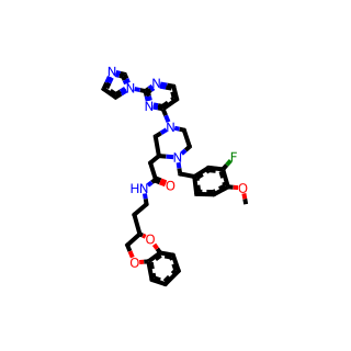 COc1ccc(CN2CCN(c3ccnc(-n4ccnc4)n3)CC2CC(=O)NCCC2COc3ccccc3O2)cc1F